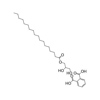 CCCCCCCCCCCCCCCCCC(=O)OCC(O)CO.O=C(O)c1ccccc1C(=O)O